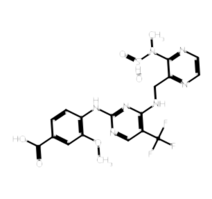 COc1cc(C(=O)O)ccc1Nc1ncc(C(F)(F)F)c(NCc2nccnc2N(C)[SH](=O)=O)n1